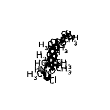 CC(C)C1=C2[C@H]3CC[C@@H]4[C@@]5(C)CC[C@H](OC(=O)CC(C)(C)C(=O)O)C(C)(C)[C@@H]5CC[C@@]4(C)[C@]3(C)CC[C@@]2([C@@H](O)CN[C@@H](C)c2ccc(Cl)cn2)CC1=O